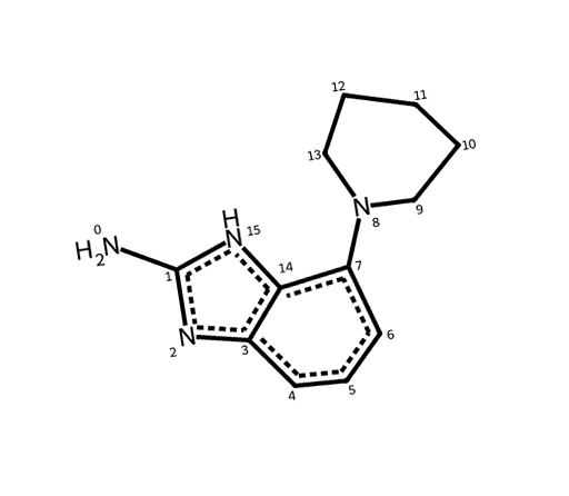 Nc1nc2cccc(N3CCCCC3)c2[nH]1